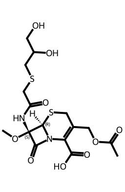 CO[C@@]1(NC(=O)CSCC(O)CO)C(=O)N2C(C(=O)O)=C(COC(C)=O)CS[C@@H]21